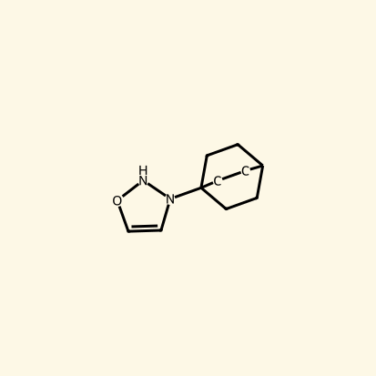 C1=CN(C23CCC(CC2)CC3)NO1